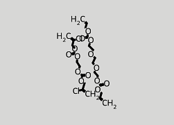 C=C(Cl)COC(=O)OCCOC(=O)OCC(=C)Cl.C=CCOC(=O)OCCOCCOCCOC(=O)OCC=C